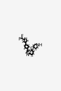 FC(F)n1cc(-c2ccc(-c3cnc4cccc(OC5CCNCC5)n34)cc2)cn1